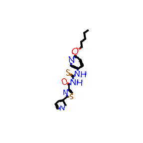 CCCCCOc1ccc(NC(=S)NC(=O)c2csc(-c3cccnc3)n2)cn1